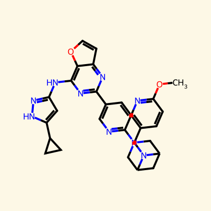 COc1ccc(CN2C3CC2CN(c2ccc(-c4nc(Nc5cc(C6CC6)[nH]n5)c5occc5n4)cn2)C3)cn1